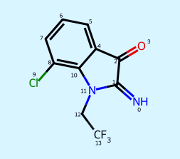 N=C1C(=O)c2cccc(Cl)c2N1CC(F)(F)F